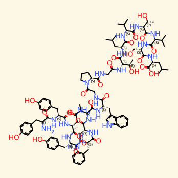 CC(C)C[C@H](NC(=O)[C@H](CO)NC(=O)[C@@H](NC(=O)[C@@H](NC(=O)[C@@H](NC(=O)[C@H](CC(C)C)NC(=O)[C@@H](NC(=O)CNC(=O)[C@@H]1CCCN1C(=O)CNC(=O)[C@H](Cc1c[nH]c2ccccc12)NC(=O)[C@@H](NC(=O)[C@H](CC(N)=O)NC(=O)[C@H](Cc1ccccc1)NC(=O)[C@H](Cc1ccc(O)cc1)NC(=O)[C@H](CC(N)=O)NC(=O)[C@H](Cc1ccc(O)cc1)NC(=O)[C@@H](N)Cc1ccc(O)cc1)C(C)C)[C@@H](C)O)C(C)C)[C@@H](C)O)C(C)C)C(=O)O